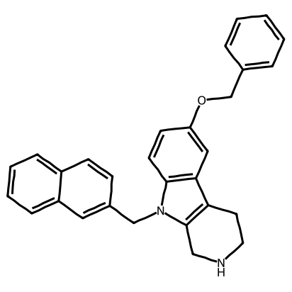 c1ccc(COc2ccc3c(c2)c2c(n3Cc3ccc4ccccc4c3)CNCC2)cc1